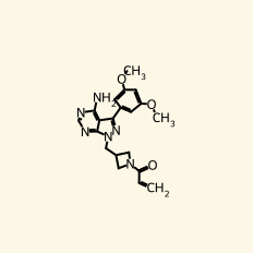 C=CC(=O)N1CC(Cn2nc(-c3cc(OC)cc(OC)c3)c3c(N)ncnc32)C1